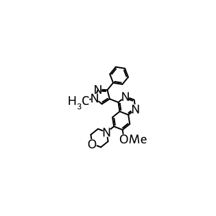 COc1cc2ncnc(-c3cn(C)nc3-c3ccccc3)c2cc1N1CCOCC1